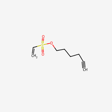 C#CCCCCOS(=O)(=O)C=C